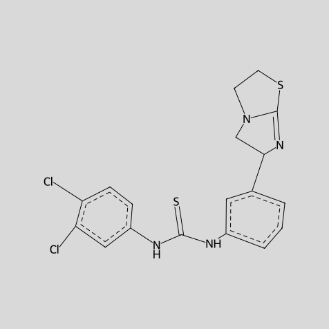 S=C(Nc1cccc(C2CN3CCSC3=N2)c1)Nc1ccc(Cl)c(Cl)c1